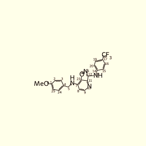 COc1ccc(CNc2ccnc3c(Nc4ccc(C(F)(F)F)cc4)noc23)cc1